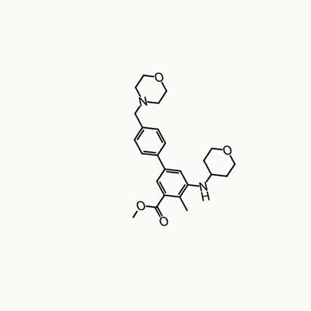 COC(=O)c1cc(-c2ccc(CN3CCOCC3)cc2)cc(NC2CCOCC2)c1C